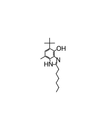 CCCCCCc1nc2c(O)c(C(C)(C)C)cc(C)c2[nH]1